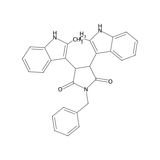 Cc1[nH]c2ccccc2c1C1C(=O)N(Cc2ccccc2)C(=O)C1c1c(C)[nH]c2ccccc12